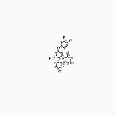 Oc1nc(Oc2ccc(F)c(F)c2)nc(-c2ccc(Cl)cc2Cl)c1-c1ccc(Cl)cc1